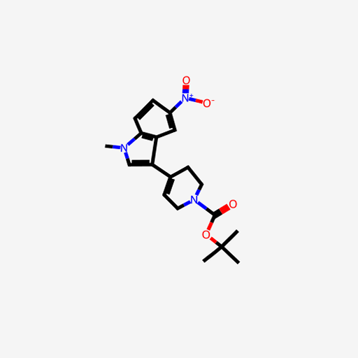 Cn1cc(C2=CCN(C(=O)OC(C)(C)C)CC2)c2cc([N+](=O)[O-])ccc21